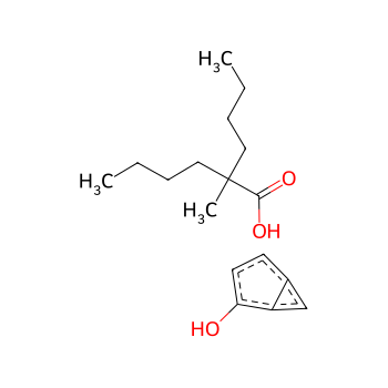 CCCCC(C)(CCCC)C(=O)O.Oc1ccc2cc1-2